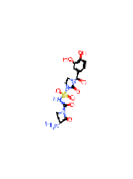 NC1CN(C(=O)NS(=O)(=O)N2CCN(C(=O)c3ccc(O)c(O)c3)C2=O)C1=O